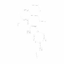 C/C=C\C(=C(/C)c1c[nH]c2nc(NCC)ncc12)c1cccc(F)c1F